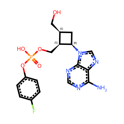 Nc1ncnc2c1ncn2[C@@H]1C[C@H](CO)[C@@H]1COP(=O)(O)Oc1ccc(F)cc1